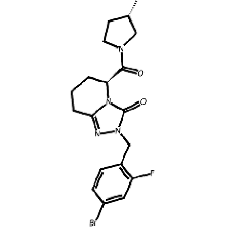 C[C@H]1CCN(C(=O)[C@@H]2CCCc3nn(Cc4ccc(Br)cc4F)c(=O)n32)C1